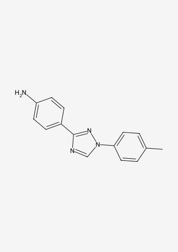 Cc1ccc(-n2cnc(-c3ccc(N)cc3)n2)cc1